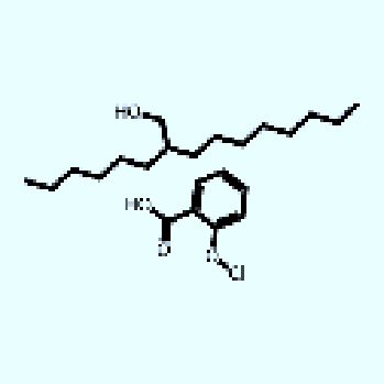 CCCCCCCCC(CO)CCCCCC.O=C(O)c1ccccc1OCl